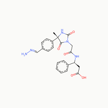 C[C@@]1(c2ccc(C=NN)cc2)NC(=O)N(CC(=O)N[C@@H](CC(=O)O)c2ccccc2)C1=O